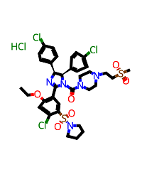 CCOc1cc(Cl)c(S(=O)(=O)N2CCCC2)cc1C1=N[C@@H](c2ccc(Cl)cc2)[C@@H](c2ccc(Cl)cc2)N1C(=O)N1CCN(CCS(C)(=O)=O)CC1.Cl